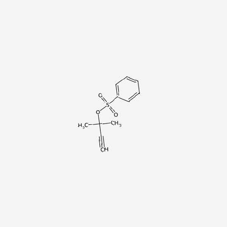 C#CC(C)(C)OS(=O)(=O)c1ccccc1